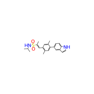 C/C(=C\c1cc(C)c(-c2ccc3[nH]ccc3c2)cc1C)S(=O)(=O)NC(C)C